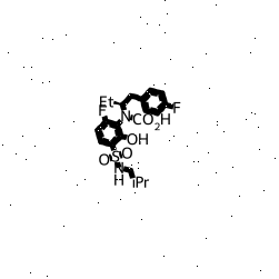 CC[C@@H](Cc1ccc(F)cc1)N(C(=O)O)c1c(F)ccc(S(=O)(=O)NCC(C)C)c1O